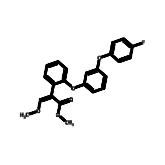 COC=C(C(=O)OC)c1ccccc1Oc1cccc(Oc2ccc(F)cc2)c1